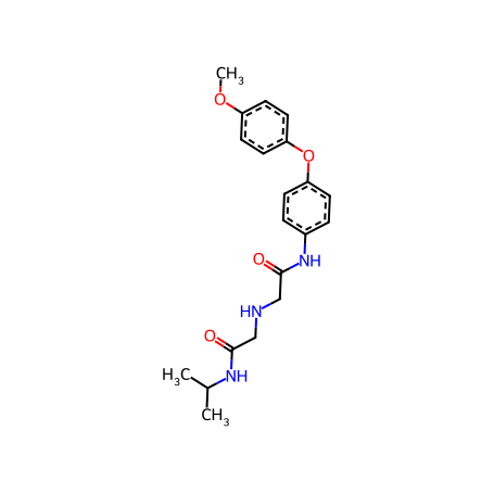 COc1ccc(Oc2ccc(NC(=O)CNCC(=O)NC(C)C)cc2)cc1